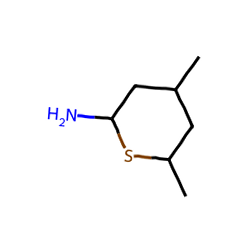 CC1CC(C)SC(N)C1